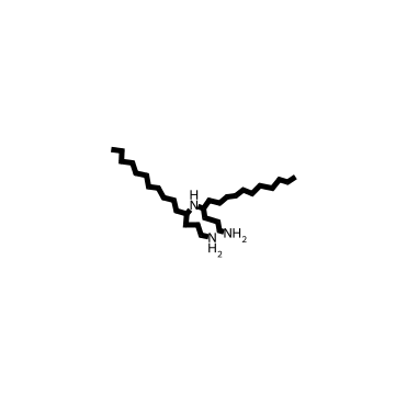 CCCCCCCCCCCC(CCCN)NC(CCCN)CCCCCCCCCCC